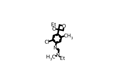 CCOC1(c2cc(Cl)c(N=CN(C)CC)cc2C)COC1